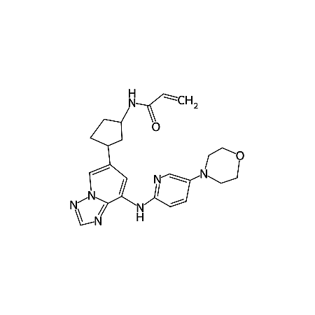 C=CC(=O)NC1CCC(c2cc(Nc3ccc(N4CCOCC4)cn3)c3ncnn3c2)C1